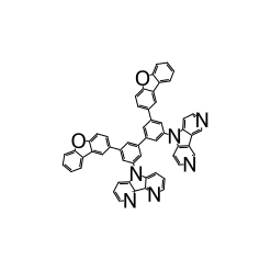 c1ccc2c(c1)oc1ccc(-c3cc(-c4cc(-c5ccc6oc7ccccc7c6c5)cc(-n5c6cccnc6c6ncccc65)c4)cc(-n4c5ccncc5c5cnccc54)c3)cc12